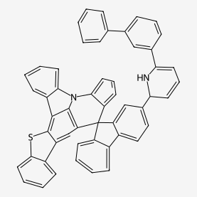 C1=CC(c2ccc3c(c2)C2(c4ccccc4-3)c3ccccc3-n3c4ccccc4c4c5sc6ccccc6c5cc2c43)NC(c2cccc(-c3ccccc3)c2)=C1